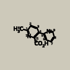 Cc1ccc(-c2ccccn2)c(C(=O)O)n1